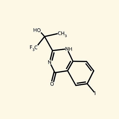 CC(O)(c1nc(=O)c2cc(I)ccc2[nH]1)C(F)(F)F